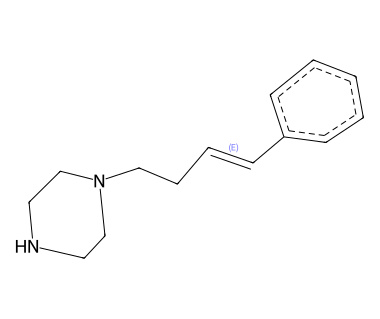 C(=C\c1ccccc1)/CCN1CCNCC1